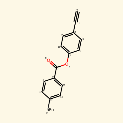 C#Cc1ccc(OC(=O)c2ccc(CCCC)cc2)cc1